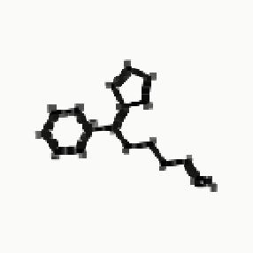 C=CCCCC(=C1C=CC=C1)c1ccccc1